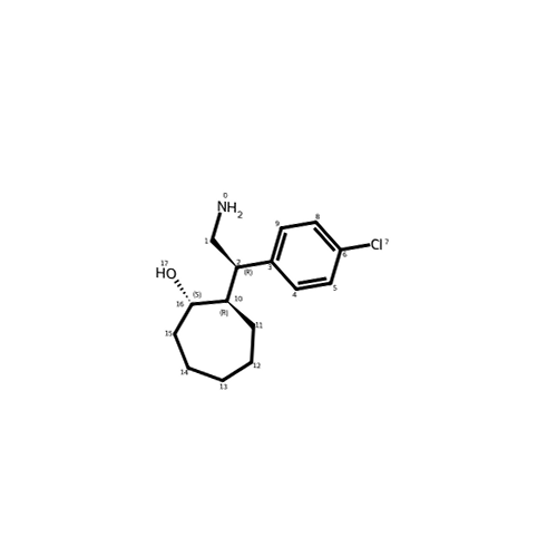 NC[C@@H](c1ccc(Cl)cc1)[C@H]1CCCCC[C@@H]1O